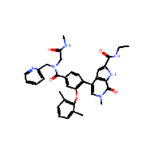 CCNC(=O)c1cc2c(-c3ccc(C(=O)N(CC(=O)NC)Cc4ccccn4)cc3Oc3c(C)cccc3C)cn(C)c(=O)c2[nH]1